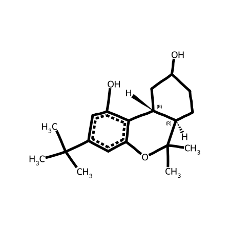 CC(C)(C)c1cc(O)c2c(c1)OC(C)(C)[C@@H]1CCC(O)C[C@@H]21